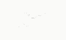 CCCCCCCCCCCCCCCC[N+](CCCC)(CCCC)CCCC.N.[Cl-]